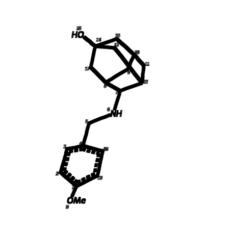 COc1ccc(CNC2C3CC4CC2CC(O)(C4)C3)cc1